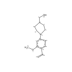 COc1cc(N2CCC(CO)CC2)ccc1N=O